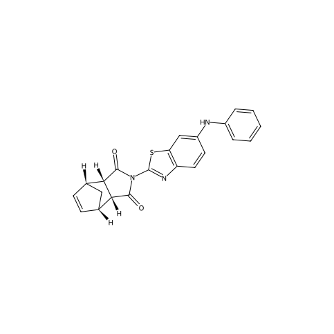 O=C1[C@@H]2[C@H](C(=O)N1c1nc3ccc(Nc4ccccc4)cc3s1)[C@@H]1C=C[C@H]2C1